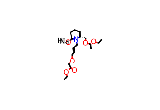 CCOC(=O)COCC=CCN1C(=O)CCC[C@@H]1COC(C)OCC.[H-].[Na+]